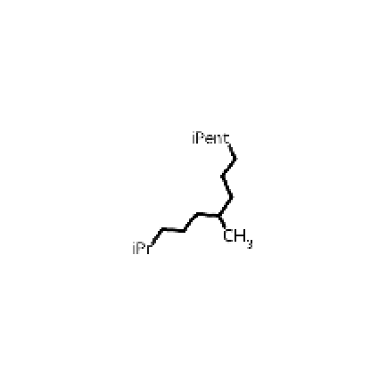 CCCC(C)CCCC(C)CCCC(C)C